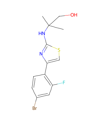 CC(C)(CO)Nc1nc(-c2ccc(Br)cc2F)cs1